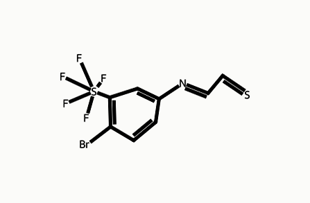 FS(F)(F)(F)(F)c1cc(N=CC=S)ccc1Br